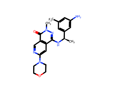 C[C@@H](Nc1nn(C)c(=O)c2cnc(N3CCOCC3)cc12)c1cc(N)cc(C(F)(F)F)c1